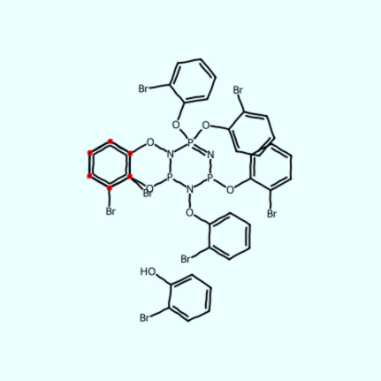 Brc1ccccc1ON1P(Oc2ccccc2Br)N=P(Oc2ccccc2Br)(Oc2ccccc2Br)N(Oc2ccccc2Br)P1Oc1ccccc1Br.Oc1ccccc1Br